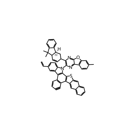 C=Cc1ccc2c(c1)c1c3ccc#cc3c3c4cc5ccccc5cc4sc3c1n2-c1nc2c(nc1C1C=CC3[C@H](C1)c1ccccc1C3(C)C)oc1cc(C)ccc12